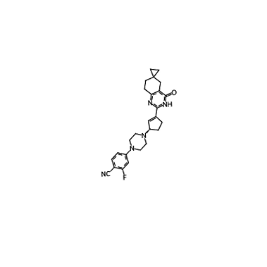 N#Cc1ccc(N2CCN([C@H]3C=C(c4nc5c(c(=O)[nH]4)CC4(CC5)CC4)CC3)CC2)cc1F